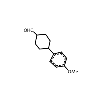 COc1ccc(C2CCC(C=O)CC2)cc1